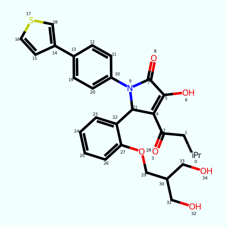 CC(C)CC(=O)C1=C(O)C(=O)N(c2ccc(-c3ccsc3)cc2)C1c1ccccc1OCC(CO)CO